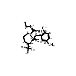 CC/N=C(/N)N1CCCC(C(F)(F)F)N=S1(=O)Cc1cc(N)ccc1F